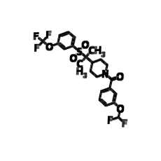 CC(C)(C1CCN(C(=O)c2cccc(OC(F)F)c2)CC1)S(=O)(=O)c1cccc(OC(F)(F)F)c1